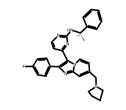 C[C@H](Nc1nccc(-c2c(-c3ccc(F)cc3)nc3cc(CN4CCCC4)ccn23)n1)c1ccccc1